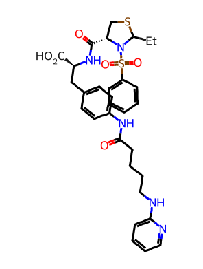 CCC1SC[C@@H](C(=O)N[C@@H](Cc2ccc(NC(=O)CCCCNc3ccccn3)cc2)C(=O)O)N1S(=O)(=O)c1ccccc1